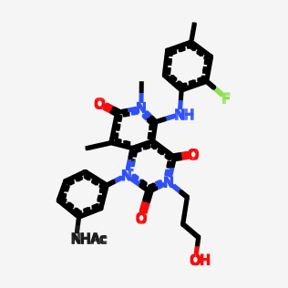 CC(=O)Nc1cccc(-n2c(=O)n(CCCO)c(=O)c3c(Nc4ccc(C)cc4F)n(C)c(=O)c(C)c32)c1